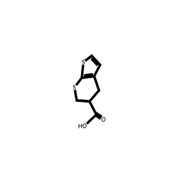 O=C(O)C1CSc2sccc2C1